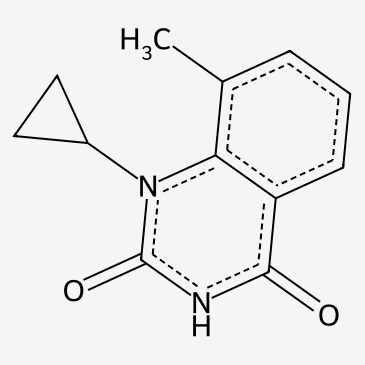 Cc1cccc2c(=O)[nH]c(=O)n(C3CC3)c12